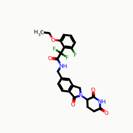 CCOc1cccc(F)c1C(F)(F)C(=O)NCc1ccc2c(c1)CN(C1CCC(=O)NC1=O)C2=O